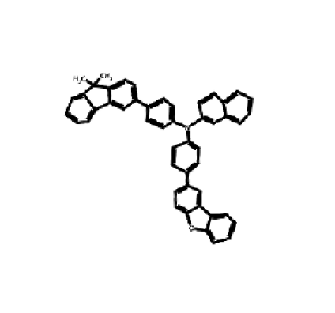 CC1(C)c2ccccc2-c2cc(-c3ccc(N(c4ccc(-c5ccc6oc7ccccc7c6c5)cc4)c4ccc5ccccc5c4)cc3)ccc21